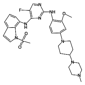 COc1cc(N2CCC(N3CCN(C)CC3)CC2)ccc1Nc1ncc(F)c(Nc2cccc3ccn(S(C)(=O)=O)c23)n1